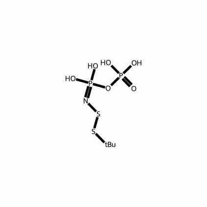 CC(C)(C)SSN=P(O)(O)OP(=O)(O)O